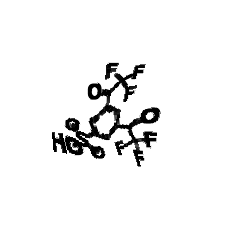 O=C(c1cc(C(=O)C(F)(F)F)cc(S(=O)(=O)O)c1)C(F)(F)F